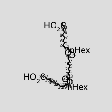 CCCCCC[C@@H](C/C=C\CCCCCCCC(=O)O)OC(=O)CCCCCCCCC(=O)O[C@@H](C/C=C\CCCCCCCC(=O)O)CCCCCC